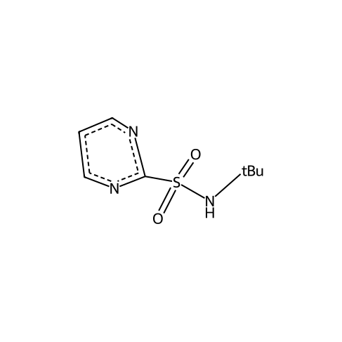 CC(C)(C)NS(=O)(=O)c1ncccn1